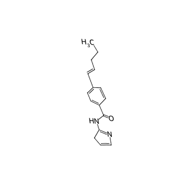 CCC/C=C/c1ccc(C(=O)NC2=NC=CC2)cc1